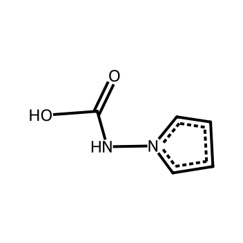 O=C(O)Nn1cccc1